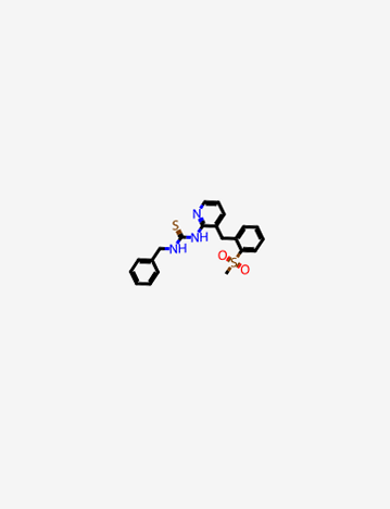 CS(=O)(=O)c1ccccc1Cc1cccnc1NC(=S)NCc1ccccc1